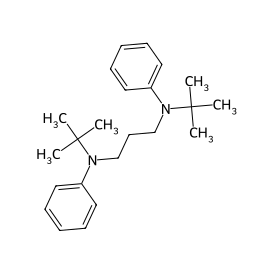 CC(C)(C)N(CCCN(c1ccccc1)C(C)(C)C)c1ccccc1